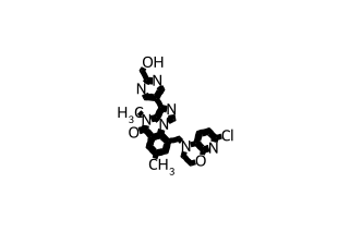 Cc1cc(CN2CCOc3nc(Cl)ccc32)c2c(c1)c(=O)n(C)c1c(-c3cnc(CO)nc3)ncn21